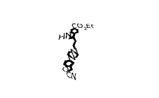 CCOC(=O)c1ccc2c(CCCN3CCN(c4ccc5oc(C#N)cc5c4)CC3)c[nH]c2c1